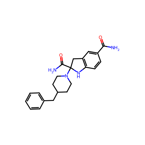 NC(=O)c1ccc2c(c1)CC(C(N)=O)(N1CCC(Cc3ccccc3)CC1)N2